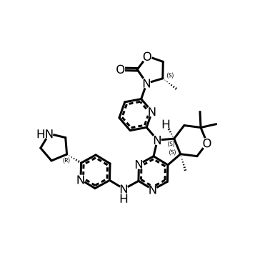 C[C@H]1COC(=O)N1c1cccc(N2c3nc(Nc4ccc([C@@H]5CCNC5)nc4)ncc3[C@]3(C)COC(C)(C)C[C@H]23)n1